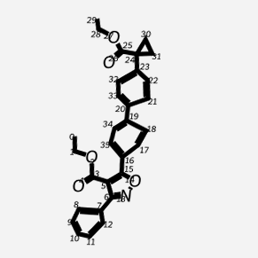 CCOC(=O)c1c(-c2ccccc2)noc1-c1ccc(-c2ccc(C3(C(=O)OCC)CC3)cc2)cc1